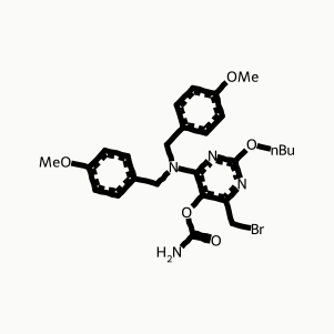 CCCCOc1nc(CBr)c(OC(N)=O)c(N(Cc2ccc(OC)cc2)Cc2ccc(OC)cc2)n1